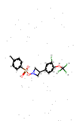 Cc1ccc(S(=O)(=O)ON2CC(c3ccc(OC(F)(F)F)c(F)c3)C2)cc1